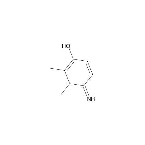 CC1=C(O)C=CC(=N)C1C